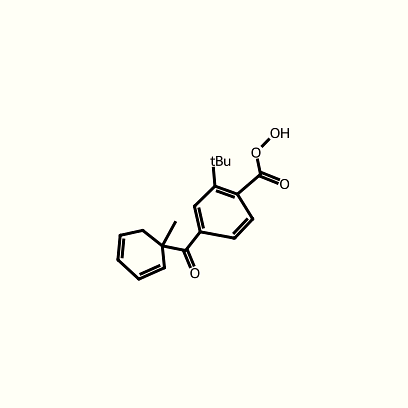 CC1(C(=O)c2ccc(C(=O)OO)c(C(C)(C)C)c2)C=CC=CC1